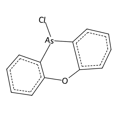 Cl[As]1c2ccccc2Oc2ccccc21